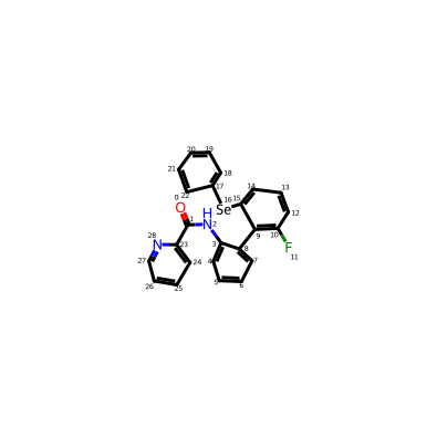 O=C(Nc1ccccc1-c1c(F)cccc1[Se]c1ccccc1)c1ccccn1